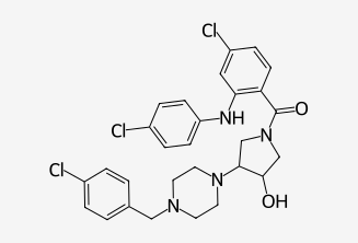 O=C(c1ccc(Cl)cc1Nc1ccc(Cl)cc1)N1CC(O)C(N2CCN(Cc3ccc(Cl)cc3)CC2)C1